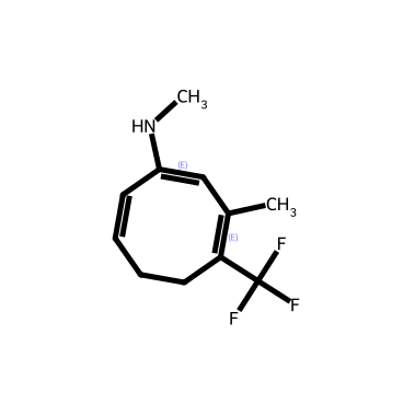 CN/C1=C/C(C)=C(/C(F)(F)F)CCC=C1